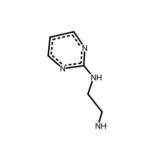 [NH]CCNc1ncccn1